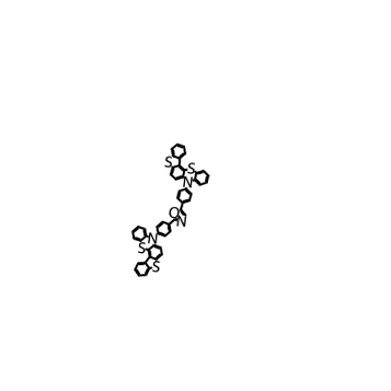 c1ccc2c(c1)Sc1c(ccc3sc4ccccc4c13)N2c1ccc(-c2cnc(-c3ccc(N4c5ccccc5Sc5c4ccc4sc6ccccc6c54)cc3)o2)cc1